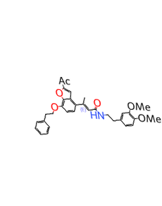 COc1ccc(CCNC(=O)/C=C(\C)c2ccc(OCCc3ccccc3)c3oc(C(C)=O)cc23)cc1OC